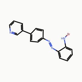 BrNc1ccccc1N=Nc1ccc(-c2cccnc2)cc1